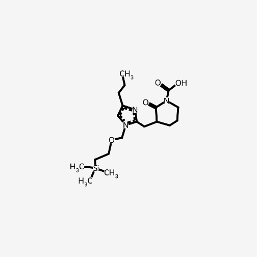 CCCc1cn(COCC[Si](C)(C)C)c(CC2CCCN(C(=O)O)C2=O)n1